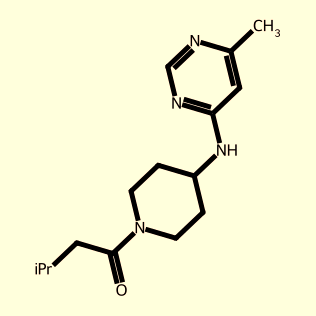 Cc1cc(NC2CCN(C(=O)CC(C)C)CC2)ncn1